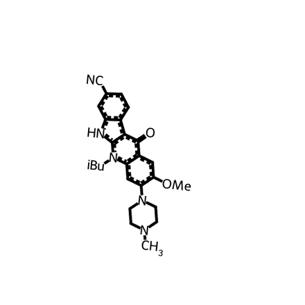 CCC(C)n1c2cc(N3CCN(C)CC3)c(OC)cc2c(=O)c2c3ccc(C#N)cc3[nH]c21